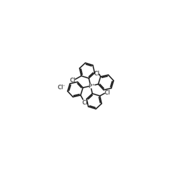 Clc1ccccc1[P+](c1ccccc1Cl)(c1ccccc1Cl)c1ccccc1Cl.[Cl-]